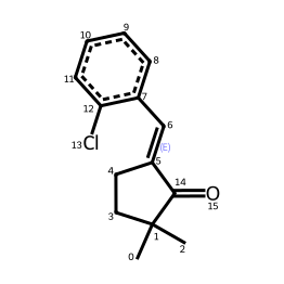 CC1(C)CC/C(=C\c2ccccc2Cl)C1=O